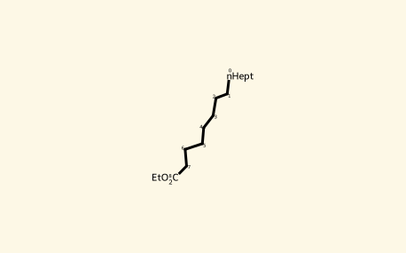 CCCCCCCCCCCCCCC(=O)OCC